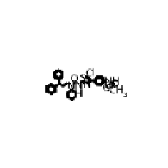 CS(=O)(=O)Nc1ccc(-c2nc(NC(=O)N(CCC(c3ccccc3)c3ccccc3)C3CCCCC3)sc2Cl)cc1